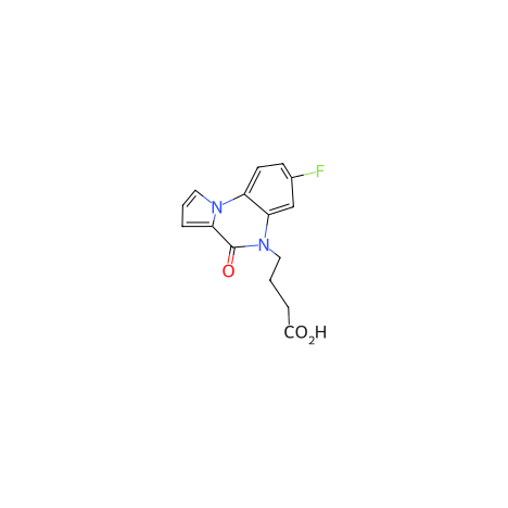 O=C(O)CCCn1c(=O)c2cccn2c2ccc(F)cc21